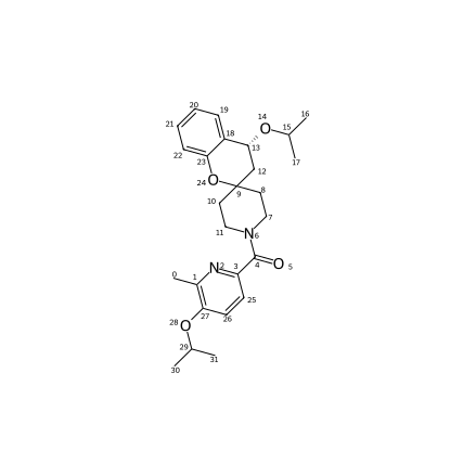 Cc1nc(C(=O)N2CCC3(CC2)C[C@@H](OC(C)C)c2ccccc2O3)ccc1OC(C)C